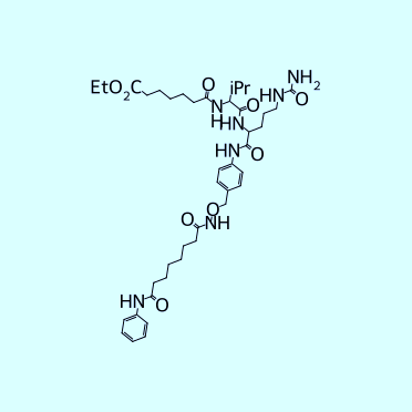 CCOC(=O)CCCCCC(=O)NC(C(=O)NC(CCCNC(N)=O)C(=O)Nc1ccc(CONC(=O)CCCCCCC(=O)Nc2ccccc2)cc1)C(C)C